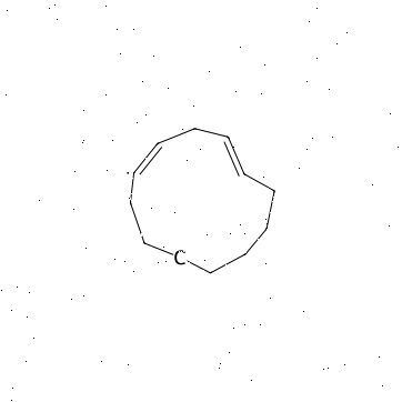 [C]1=C\C/C=C/CCCCCCC/1